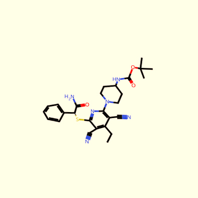 CCc1c(C#N)c(S[C@@H](C(N)=O)c2ccccc2)nc(N2CCC(NC(=O)OC(C)(C)C)CC2)c1C#N